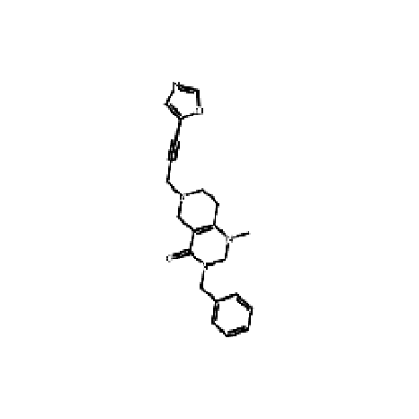 CN1CN(Cc2ccccc2)C(=O)C2=C1CCN(CC#Cc1cnco1)C2